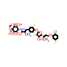 CC(=Cc1ccc(O[C@@H]2O[C@H](C(C)=CCOc3cc(F)ccc3Cl)[C@@H](O)[C@@H]2F)c(F)c1)C(=O)N[C@@H]1[C@H](O)[C@@H](O)[C@H]2OCO[C@H]2[C@@H]1O